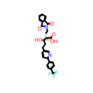 O=C(O)[C@@H](CCN1C(=O)c2ccccc2C1=O)[C@H](O)CCc1ccc(-c2ccc(C(F)(F)F)cc2)nc1